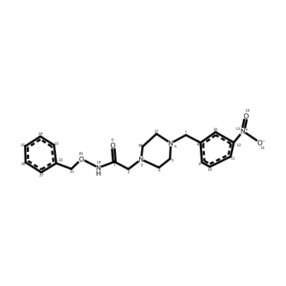 O=C(CN1CCN(Cc2cccc([N+](=O)[O-])c2)CC1)NOCc1ccccc1